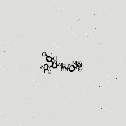 CC1C(=O)N(c2ccc(NCCNc3ccc([NH+]([O-])O)c(N)n3)nc2-c2ccc(Cl)cc2Cl)CCN1C